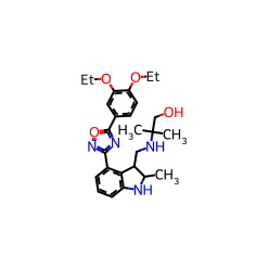 CCOc1ccc(-c2nc(-c3cccc4c3C(CNC(C)(C)CO)C(C)N4)no2)cc1OCC